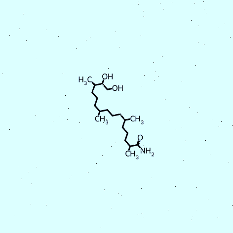 C[C](CCCC(C)CCCC(C)CCCC(C)C(N)=O)C(O)CO